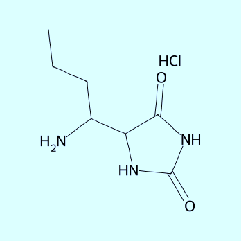 CCCC(N)C1NC(=O)NC1=O.Cl